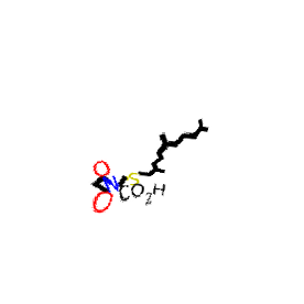 CC(C)=CCCC(C)=CCCC(C)=CCSC[C@@H](C(=O)O)N1C(=O)CC1=O